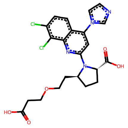 O=C(O)CCOCC[C@@H]1CC[C@@H](C(=O)O)N1c1cc(-n2ccnc2)c2ccc(Cl)c(Cl)c2n1